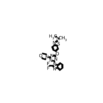 CN(C)c1nc2ccc(Oc3nc(N4CCOCC4)nc(-n4c(C(F)F)nc5ccccc54)n3)cc2s1